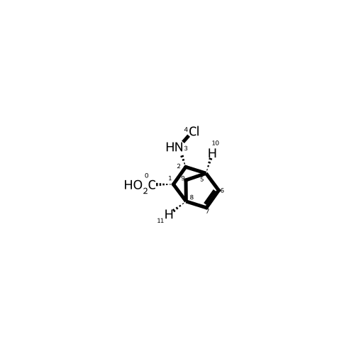 O=C(O)[C@@H]1[C@H](NCl)[C@H]2C=C[C@@H]1C2